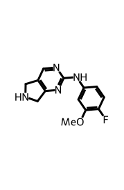 COc1cc(Nc2ncc3c(n2)CNC3)ccc1F